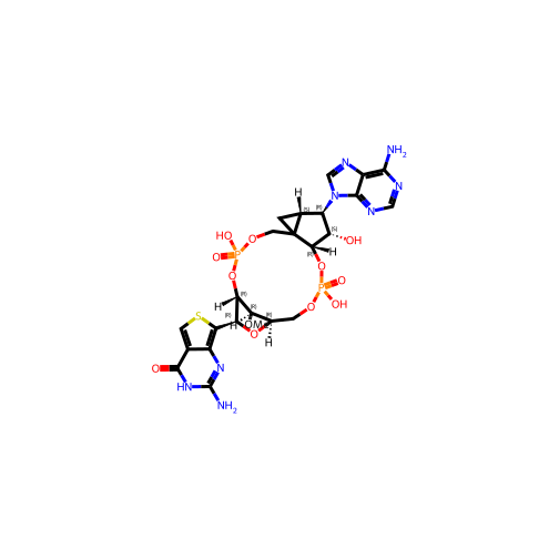 CO[C@H]1[C@H]2OP(=O)(O)OCC34C[C@@H]3[C@@H](n3cnc5c(N)ncnc53)[C@H](O)[C@@H]4OP(=O)(O)OC[C@H]1O[C@H]2c1scc2c(=O)[nH]c(N)nc12